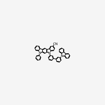 N#Cc1ccc2c(c1)c1cc3c4ccccc4n(-c4ccccc4)c3cc1n2-c1cccc(-c2cccc(-n3c4ccccc4c4ccccc43)c2)c1